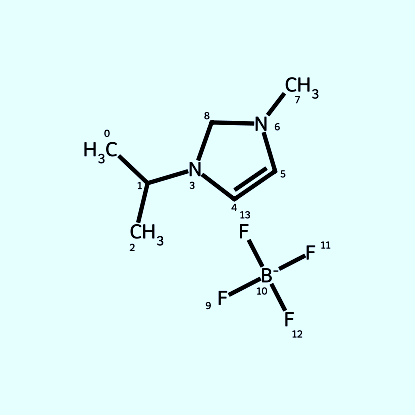 CC(C)N1C=CN(C)C1.F[B-](F)(F)F